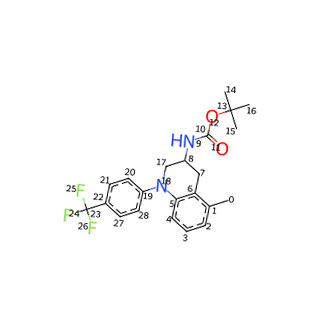 Cc1cccc2c1CC(NC(=O)OC(C)(C)C)CN2c1ccc(C(F)(F)F)cc1